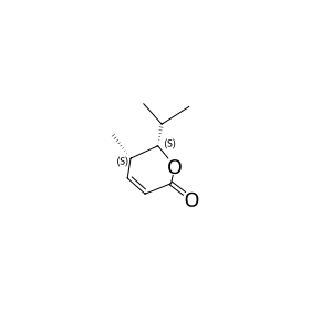 CC(C)[C@@H]1OC(=O)C=C[C@@H]1C